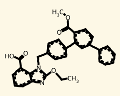 CCOc1nc2cccc(C(=O)O)c2n1Cc1ccc(-c2cc(-c3ccccc3)ccc2C(=O)OC)cc1